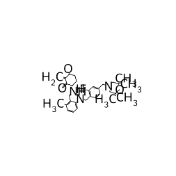 C=C1C(=O)CC[C@@H](NCc2c(C)cccc2NCc2ccc(CN3CC(C)(C)OC(C)(C)C3)cc2F)C1=O